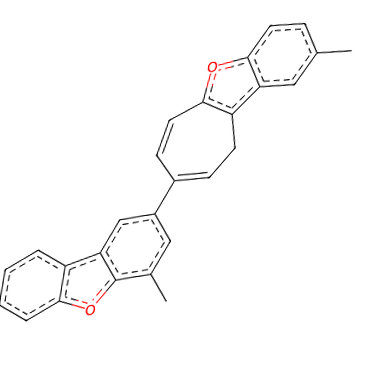 Cc1ccc2oc3c(c2c1)CC=C(c1cc(C)c2oc4ccccc4c2c1)C=C3